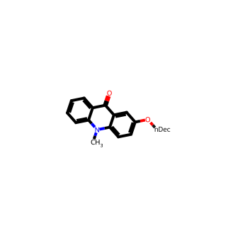 CCCCCCCCCCOc1ccc2c(c1)c(=O)c1ccccc1n2C